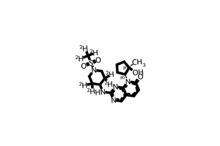 [2H]C1([2H])CN(S(=O)(=O)C([2H])([2H])[2H])CC([2H])([2H])C1Nc1ncc2ccc(=O)n([C@@H]3CCC[C@@]3(C)O)c2n1